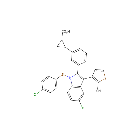 N#Cc1sccc1-c1c(-c2cccc(C3CC3C(=O)O)c2)n(Sc2ccc(Cl)cc2)c2ccc(F)cc12